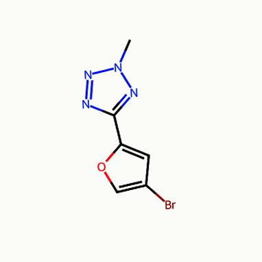 Cn1nnc(-c2cc(Br)co2)n1